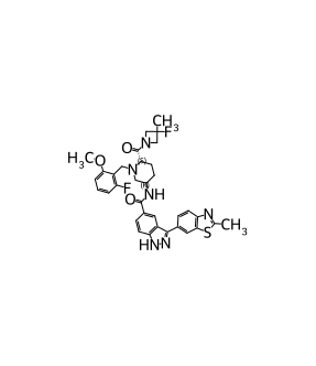 COc1cccc(F)c1CN1C[C@H](NC(=O)c2ccc3[nH]nc(-c4ccc5nc(C)sc5c4)c3c2)CC[C@H]1C(=O)N1CC(C)(F)C1